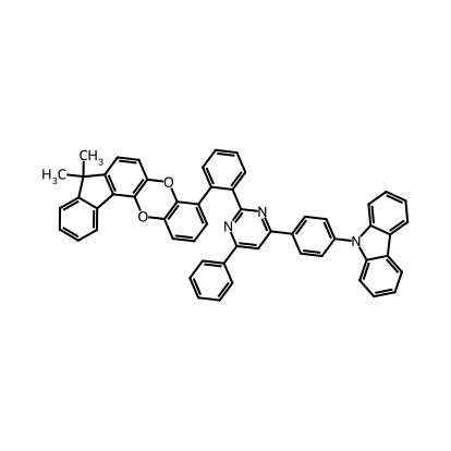 CC1(C)c2ccccc2-c2c1ccc1c2Oc2cccc(-c3ccccc3-c3nc(-c4ccccc4)cc(-c4ccc(-n5c6ccccc6c6ccccc65)cc4)n3)c2O1